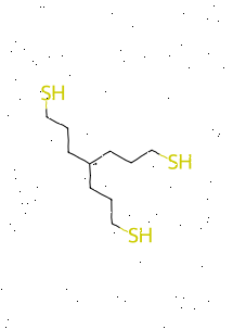 SCCC[C](CCCS)CCCS